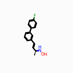 C[C@@H](/C=C/c1cccc(-c2ccc(F)cc2)c1)NO